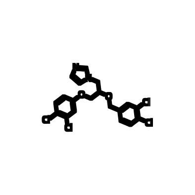 Clc1ccc(COC(COc2ccc(Cl)c(Cl)c2)Cn2ccnc2)cc1Cl